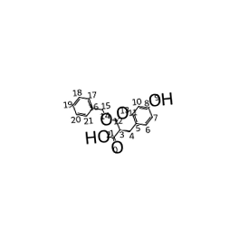 O=C(O)[C@H](Cc1ccc(O)cc1)C(=O)OCc1ccccc1